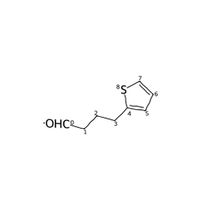 O=[C]CCCc1cccs1